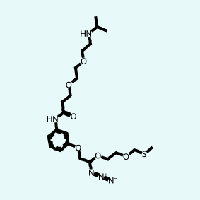 CSCOCCOC(COc1cccc(NC(=O)CCOCCOCCNC(C)C)c1)N=[N+]=[N-]